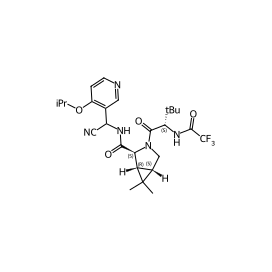 CC(C)Oc1ccncc1C(C#N)NC(=O)[C@@H]1[C@@H]2[C@H](CN1C(=O)[C@@H](NC(=O)C(F)(F)F)C(C)(C)C)C2(C)C